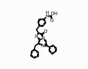 O=C(O)Nc1ccc(Cc2nc3c(Cc4ccccc4)[nH]c(-c4ccccc4)cn-3c2=O)cc1